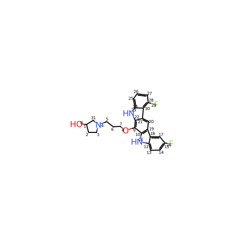 OC1CCN(CCCOc2c3[nH]c4ccc(F)cc4c3cc3c2[nH]c2cccc(F)c23)C1